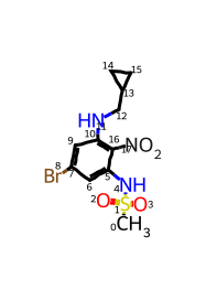 CS(=O)(=O)Nc1cc(Br)cc(NCC2CC2)c1[N+](=O)[O-]